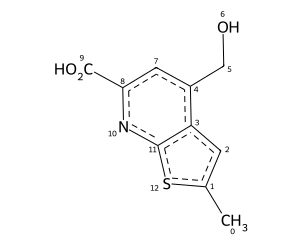 Cc1cc2c(CO)cc(C(=O)O)nc2s1